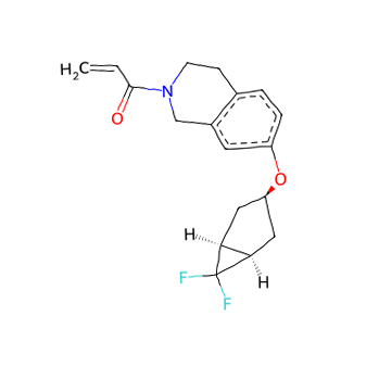 C=CC(=O)N1CCc2ccc(O[C@H]3C[C@@H]4[C@H](C3)C4(F)F)cc2C1